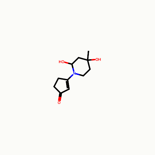 CC1(O)CCN(C2=CC(=O)CC2)C(O)C1